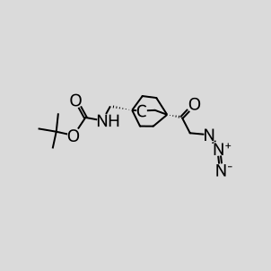 CC(C)(C)OC(=O)NC[C@]12CC[C@](C(=O)CN=[N+]=[N-])(CC1)CC2